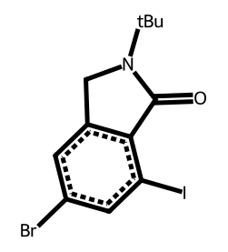 CC(C)(C)N1Cc2cc(Br)cc(I)c2C1=O